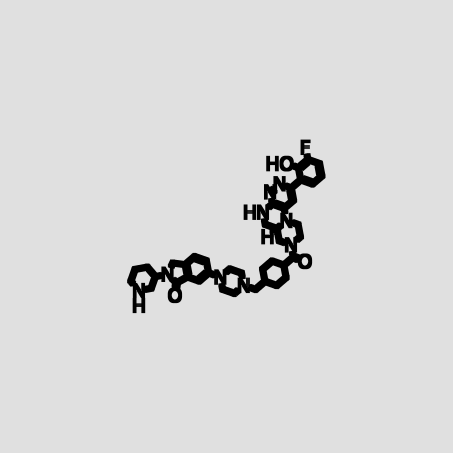 O=C(C1CCC(CN2CCN(c3ccc4c(c3)C(=O)N(C3CCCNC3)C4)CC2)CC1)N1CCN2c3cc(-c4cccc(F)c4O)nnc3NC[C@H]2C1